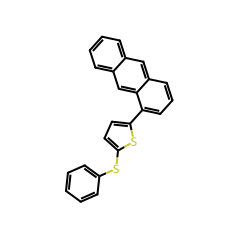 c1ccc(Sc2ccc(-c3cccc4cc5ccccc5cc34)s2)cc1